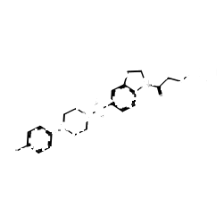 O=C(O)CCC(=O)N1CCc2cc(S(=O)(=O)N3CCN(c4ccc(Cl)cc4)CC3)ccc21